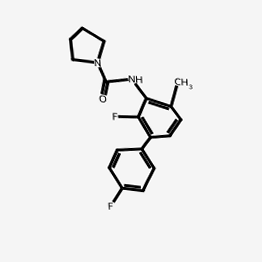 Cc1ccc(-c2ccc(F)cc2)c(F)c1NC(=O)N1CCCC1